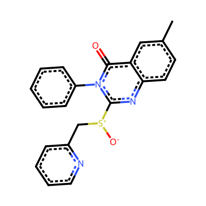 Cc1ccc2nc([S+]([O-])Cc3ccccn3)n(-c3ccccc3)c(=O)c2c1